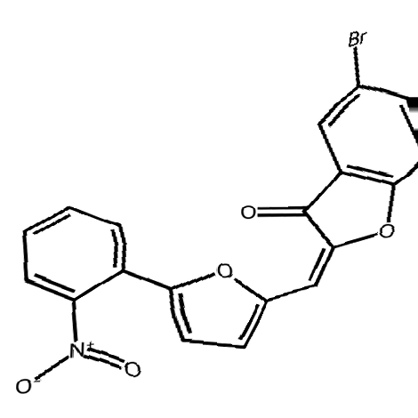 O=C1C(=Cc2ccc(-c3ccccc3[N+](=O)[O-])o2)Oc2ccc(Br)cc21